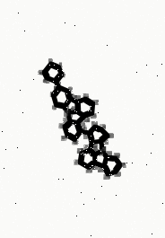 c1ccc(-c2ccc3c(c2)c2cccc4c5c(-c6cccc7c6c6cccc8c9ccccc9n7c86)cccc5n3c24)cc1